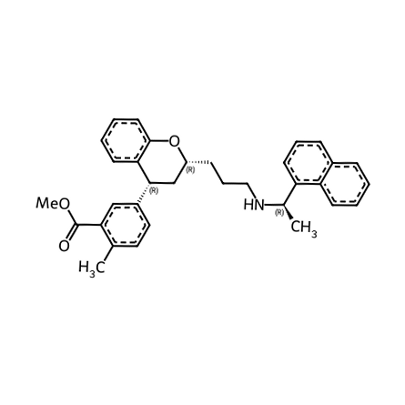 COC(=O)c1cc([C@H]2C[C@@H](CCCN[C@H](C)c3cccc4ccccc34)Oc3ccccc32)ccc1C